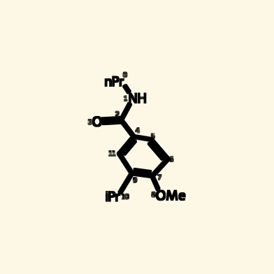 CCCNC(=O)c1ccc(OC)c(C(C)C)c1